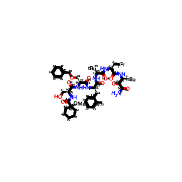 CCCC[C@H](NC(=O)[C@H](CC(C)C)NC(=O)[C@@H](NC(=O)[C@H](Cc1ccccc1C)NC(=O)[C@@H](COCc1ccccc1)NC(=O)[C@H](CO)NC(=O)C1(OC)CCCCC1)C(C)(C)C)C(=O)C(N)=O